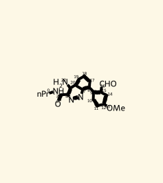 CCCNC(=O)c1nnc2c(-c3ccc(OC)cc3C=O)cccc2c1N